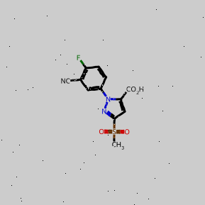 CS(=O)(=O)c1cc(C(=O)O)n(-c2ccc(F)c(C#N)c2)n1